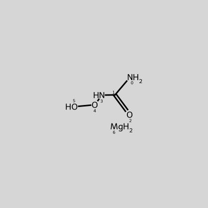 NC(=O)NOO.[MgH2]